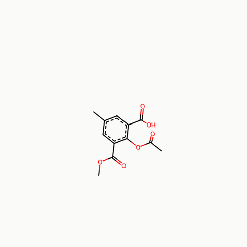 COC(=O)c1cc(C)cc(C(=O)O)c1OC(C)=O